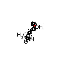 C/C(=C1\SC(=O)NC1=O)c1ccc(-c2ccc(O)c(C34CC5CC(CC(C5)C3)C4)c2)nc1